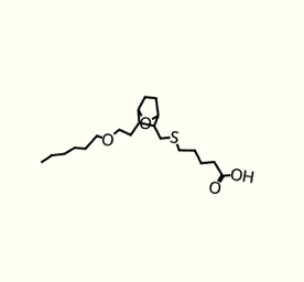 CCCCCCOCCC1C2CCC(O2)C1CSCCCCC(=O)O